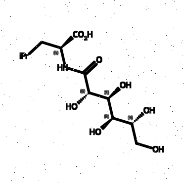 CC(C)C[C@H](NC(=O)[C@@H](O)[C@@H](O)[C@H](O)[C@H](O)CO)C(=O)O